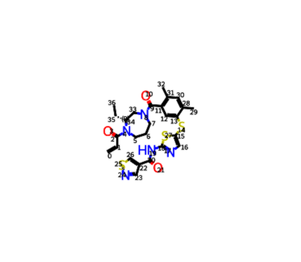 C=CC(=O)N1CCCN(C(=O)c2cc(Sc3cnc(NC(=O)c4cnsc4)s3)c(C)cc2C)C[C@H]1CC